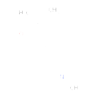 CN1CCC2(CC1)COC(C)(C)C2